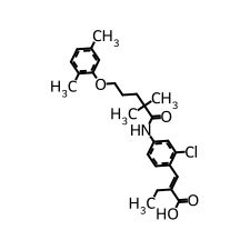 CC/C(=C\c1ccc(NC(=O)C(C)(C)CCCOc2cc(C)ccc2C)cc1Cl)C(=O)O